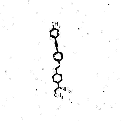 CCC(N)C1CCC(CCc2ccc(C#Cc3ccc(C)cc3)cc2)CC1